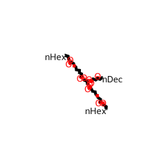 CCCCCC/C=C\COC(=O)CCCCCCCC(=O)OCC(COC(=O)CCCCCCCC(=O)OC/C=C\CCCCCC)OC(=O)CCC(=O)CCCCCCCCCCCC